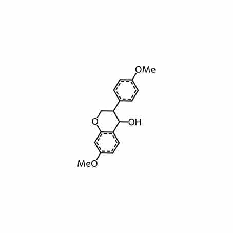 COc1ccc(C2COc3cc(OC)ccc3C2O)cc1